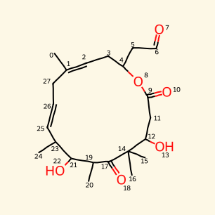 C/C1=C/CC(CC=O)OC(=O)CC(O)C(C)(C)C(=O)C(C)C(O)C(C)/C=C/C1